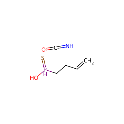 C=CCC[PH](O)=S.N=C=O